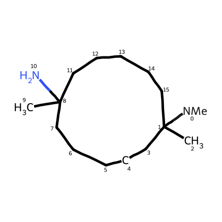 CNC1(C)CCCCCC(C)(N)CCCCC1